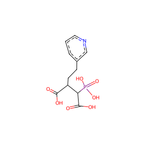 O=C(O)C(CCc1cccnc1)C(C(=O)O)P(=O)(O)O